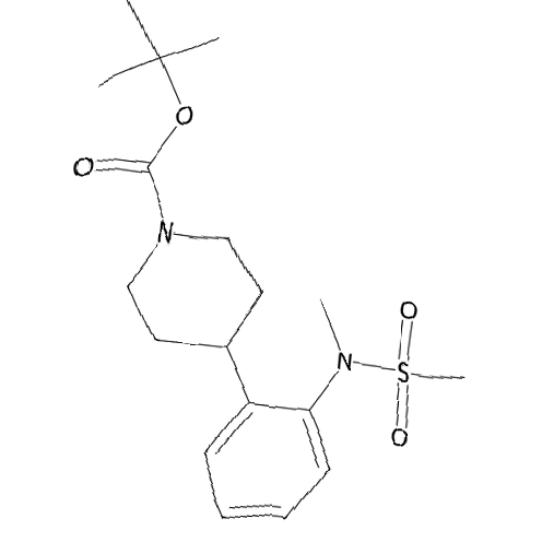 CN(c1ccccc1C1CCN(C(=O)OC(C)(C)C)CC1)S(C)(=O)=O